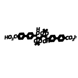 CC1(C)O[C@H]([C@@H]2OC(C)(C)O[C@H]2C(O)c2ccc(-c3ccc(C(=O)O)cc3)cc2)[C@@H](C(O)c2ccc(-c3ccc(C(=O)O)cc3)cc2)O1